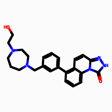 O=c1[nH]nc2ccc3c(-c4cccc(CN5CCCN(CCO)CC5)c4)cccc3n12